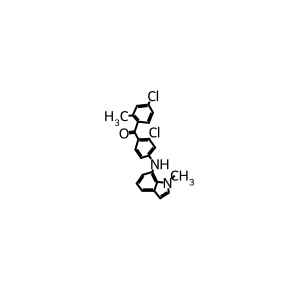 Cc1cc(Cl)ccc1C(=O)c1ccc(Nc2cccc3ccn(C)c23)cc1Cl